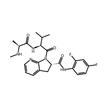 CN[C@@H](C)C(=O)N[C@H](C(=O)N1c2ncccc2C[C@H]1C(=O)Nc1ccc(F)cc1F)C(C)C